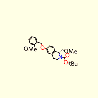 COC[C@H]1c2ccc(OCc3ccccc3OC)cc2CCN1C(=O)OC(C)(C)C